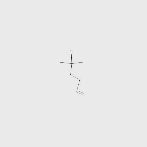 CC(C)(N)CC[C]=O